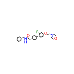 O=C(Cc1ccc(-c2ccc(OCCN3CCOCC3)cc2F)cc1)NCc1ccccc1